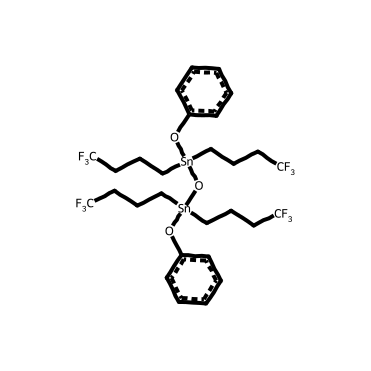 FC(F)(F)CC[CH2][Sn]([CH2]CCC(F)(F)F)([O]c1ccccc1)[O][Sn]([CH2]CCC(F)(F)F)([CH2]CCC(F)(F)F)[O]c1ccccc1